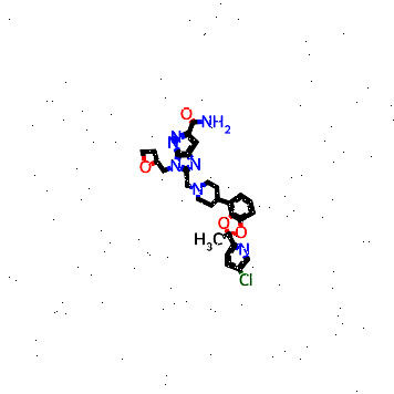 CC1(c2ccc(Cl)cn2)Oc2cccc(C3CCN(Cc4nc5cc(C(N)=O)nnc5n4CC4CCO4)CC3)c2O1